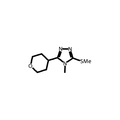 CSc1nnc(C2CCOCC2)n1C